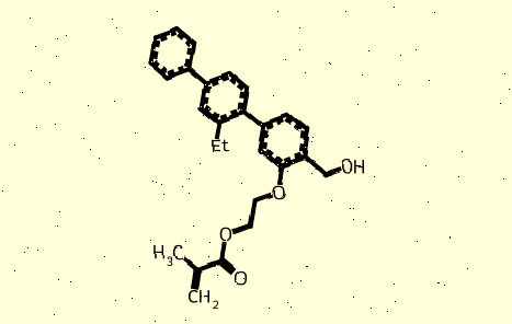 C=C(C)C(=O)OCCOc1cc(-c2ccc(-c3ccccc3)cc2CC)ccc1CO